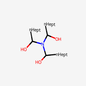 CCCCCCCC(O)N(C(O)CCCCCCC)C(O)CCCCCCC